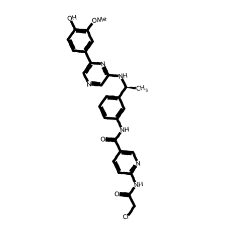 COc1cc(-c2cncc(N[C@@H](C)c3cccc(NC(=O)c4ccc(NC(=O)CCl)nc4)c3)n2)ccc1O